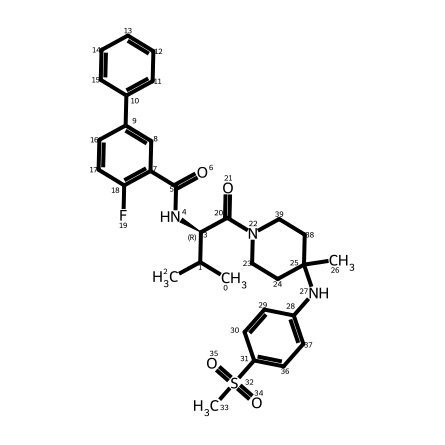 CC(C)[C@@H](NC(=O)c1cc(-c2ccccc2)ccc1F)C(=O)N1CCC(C)(Nc2ccc(S(C)(=O)=O)cc2)CC1